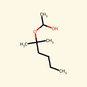 CCCCC(C)(C)OC(C)O